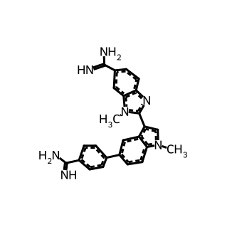 Cn1cc(-c2nc3ccc(C(=N)N)cc3n2C)c2cc(-c3ccc(C(=N)N)cc3)ccc21